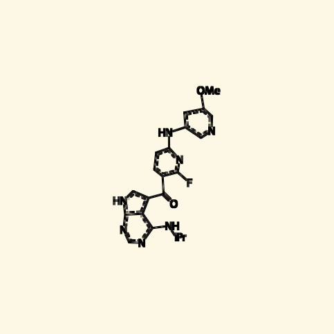 COc1cncc(Nc2ccc(C(=O)c3c[nH]c4ncnc(NC(C)C)c34)c(F)n2)c1